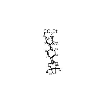 CCOC(=O)Cn1cc(-c2ccc(B3OC(C)(C)C(C)(C)O3)cc2)c(C)n1